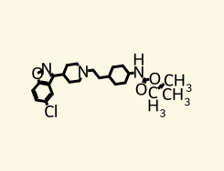 CC(C)(C)OC(=O)NC1CCC(CCN2CCC(c3noc4ccc(Cl)cc34)CC2)CC1